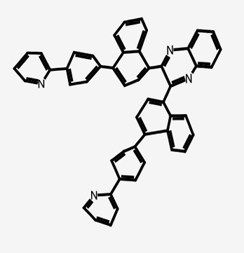 c1ccc(-c2ccc(-c3ccc(-c4nc5ccccc5nc4-c4ccc(-c5ccc(-c6ccccn6)cc5)c5ccccc45)c4ccccc34)cc2)nc1